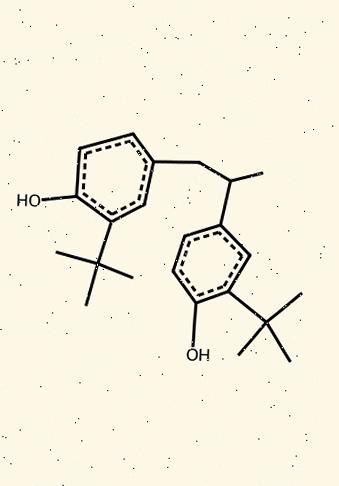 CC(Cc1ccc(O)c(C(C)(C)C)c1)c1ccc(O)c(C(C)(C)C)c1